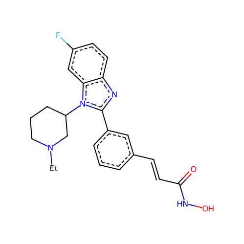 CCN1CCCC(n2c(-c3cccc(C=CC(=O)NO)c3)nc3ccc(F)cc32)C1